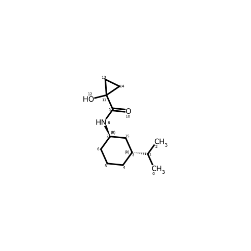 CC(C)[C@@H]1CCC[C@@H](NC(=O)C2(O)CC2)C1